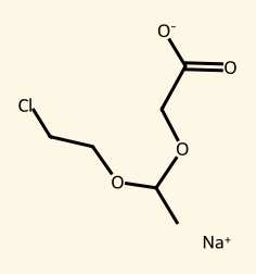 CC(OCCCl)OCC(=O)[O-].[Na+]